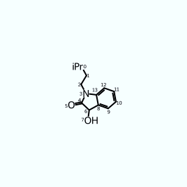 CC(C)CCN1C(=O)C(O)c2ccccc21